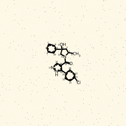 CC1CC(O)(c2ccccc2)CN1C(=O)c1cn[nH]c1-c1ccc(Cl)cc1